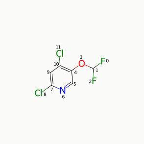 FC(F)Oc1cnc(Cl)cc1Cl